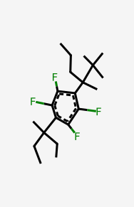 CCCC(C)(c1c(F)c(F)c(C(C)(CC)CC)c(F)c1F)C(C)(C)C